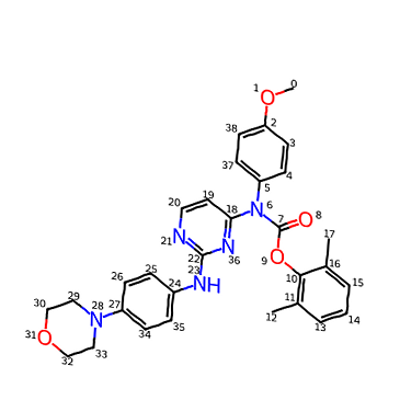 COc1ccc(N(C(=O)Oc2c(C)cccc2C)c2ccnc(Nc3ccc(N4CCOCC4)cc3)n2)cc1